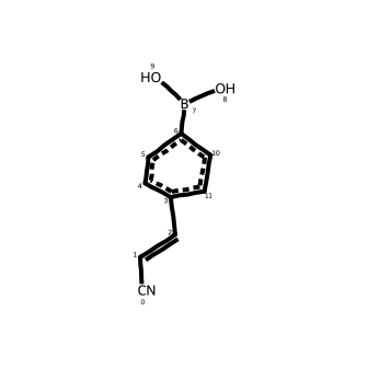 N#CC=Cc1ccc(B(O)O)cc1